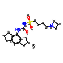 O=C(Nc1c2c(cc3c1CCC3)CCC2)NS(=O)(=O)CCCCN1CCC1.[K]